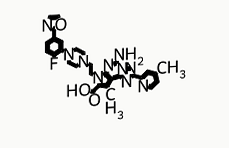 Cc1ccnc(-c2nc3c4c(C)c(C(=O)O)n(CCN5CCN(c6cc(-c7ncco7)ccc6F)CC5)c4nc(N)n3n2)c1